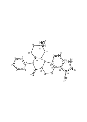 Cl.O=C(C(c1ccccc1)N1CCNCC1)N1CCc2c(cnc3[nH]nc(Br)c23)C1